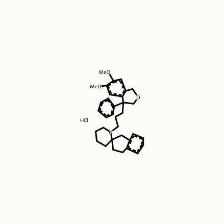 COc1cc2c(cc1OC)C(CCCN1CCCCC13CCc1ccccc1C3)(c1ccccc1)COC2.Cl